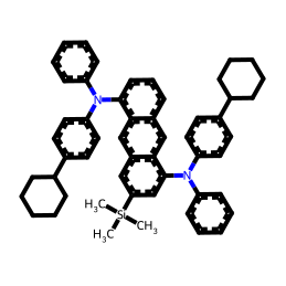 C[Si](C)(C)c1cc(N(c2ccccc2)c2ccc(C3CCCCC3)cc2)c2cc3cccc(N(c4ccccc4)c4ccc(C5CCCCC5)cc4)c3cc2c1